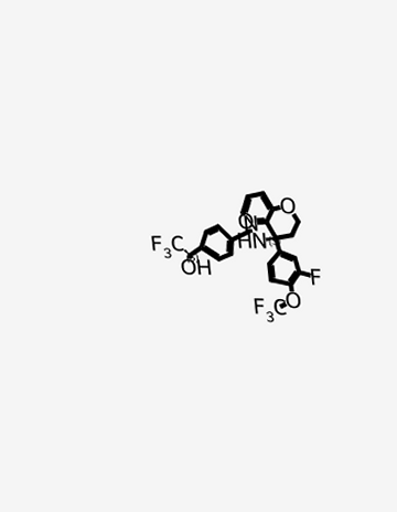 O=C(N[C@]1(c2ccc(OC(F)(F)F)c(F)c2)CCOc2cccnc21)c1ccc([C@H](O)C(F)(F)F)cc1